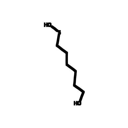 OCCCCCCSO